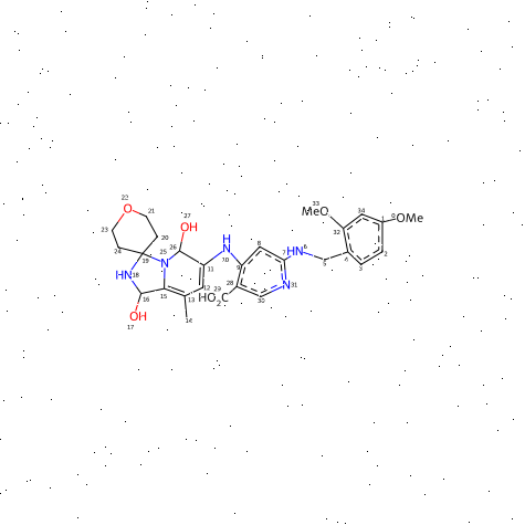 COc1ccc(CNc2cc(NC3=CC(C)=C4C(O)NC5(CCOCC5)N4C3O)c(C(=O)O)cn2)c(OC)c1